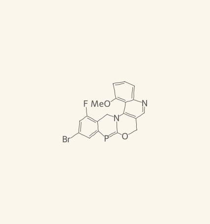 COc1cccc2ncc3c(c12)N1Cc2c(F)cc(Br)cc2P=C1OC3